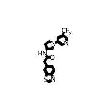 O=C(Cc1ccc2ncsc2c1)N[C@@H]1CCN(c2cncc(C(F)(F)F)c2)C1